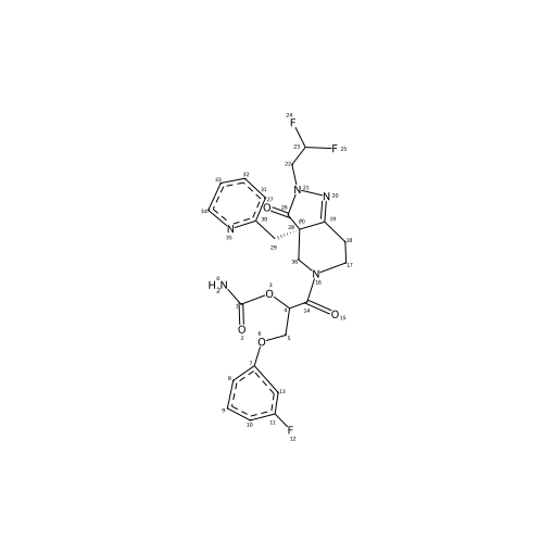 NC(=O)OC(COc1cccc(F)c1)C(=O)N1CCC2=NN(CC(F)F)C(=O)[C@]2(Cc2ccccn2)C1